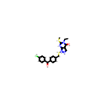 CCn1c(SC)nc2c(cnn2SCc2ccc(C(=O)c3ccc(Cl)cc3)cc2)c1=O